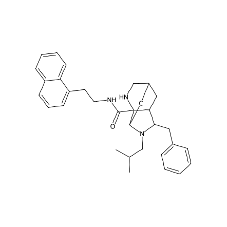 CC(C)CN1C(Cc2ccccc2)C2CC3CNC2(C(=O)NCCc2cccc4ccccc24)C1C3